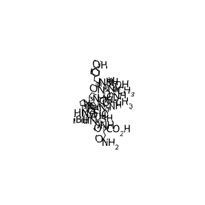 CC[C@H](C)[C@H](NC(=O)[C@@H]1CCCN1C(=O)[C@@H]1CCCN1C(=O)[C@@H](NC(=O)[C@H](CO)NC(=O)[C@H](C)NC(=O)[C@@H](NC(=O)[C@H](CS)NC(=O)[C@@H](N)Cc1ccc(O)cc1)[C@@H](C)O)[C@@H](C)CC)C(=O)N[C@@H](CS)C(=O)N[C@@H](CCC(N)=O)C(=O)O